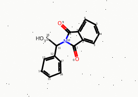 O=C1c2ccccc2C(=O)N1C(c1ccccc1)S(=O)(=O)O